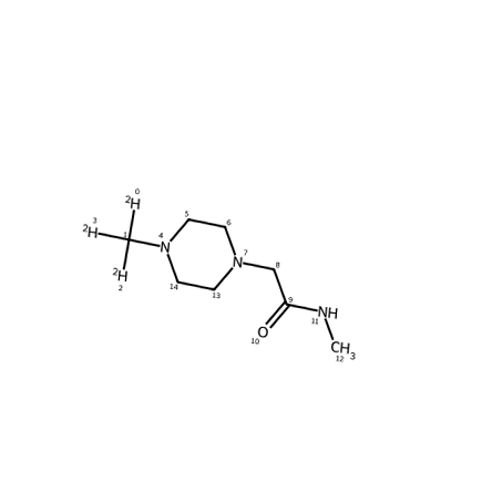 [2H]C([2H])([2H])N1CCN(CC(=O)NC)CC1